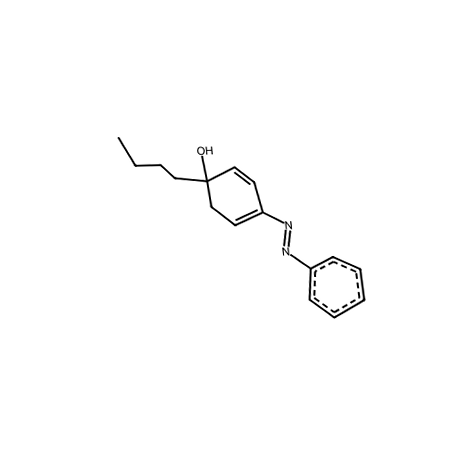 CCCCC1(O)C=CC(N=Nc2ccccc2)=CC1